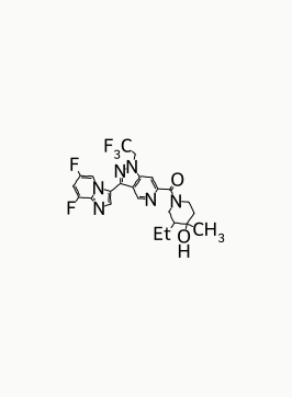 CCC1CN(C(=O)c2cc3c(cn2)c(-c2cnc4c(F)cc(F)cn24)nn3CC(F)(F)F)CCC1(C)O